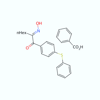 CCCCCCC(=NO)C(=O)c1ccc(Sc2ccccc2)cc1.O=C(O)c1ccccc1